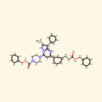 Cc1nn2c(N3CCN(C(=O)OCc4ccccc4)CC3)cc(-c3cccc(CCC(=O)OCc4ccccc4)c3)nc2c1-c1ccccc1